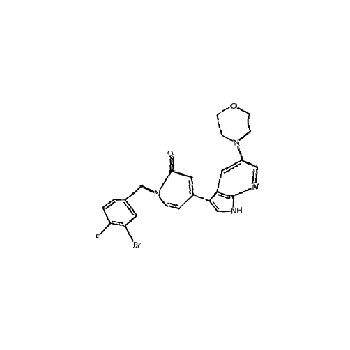 O=c1cc(-c2c[nH]c3ncc(N4CCOCC4)cc23)ccn1Cc1ccc(F)c(Br)c1